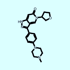 CN1CCN(c2ccc(-c3n[nH]c4cc(=O)n(C5CCOC5)cc34)cc2)CC1